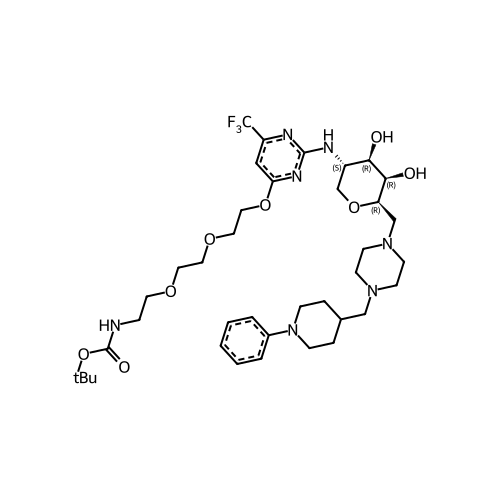 CC(C)(C)OC(=O)NCCOCCOCCOc1cc(C(F)(F)F)nc(N[C@H]2CO[C@H](CN3CCN(CC4CCN(c5ccccc5)CC4)CC3)[C@H](O)[C@@H]2O)n1